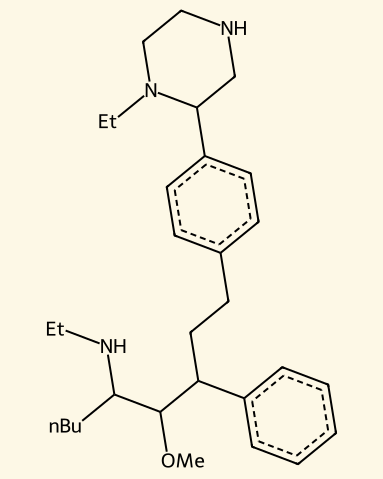 CCCCC(NCC)C(OC)C(CCc1ccc(C2CNCCN2CC)cc1)c1ccccc1